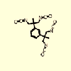 CC(CN=C=O)(CN=C=O)c1cccc(C(C)(CN=C=O)CN=C=O)c1